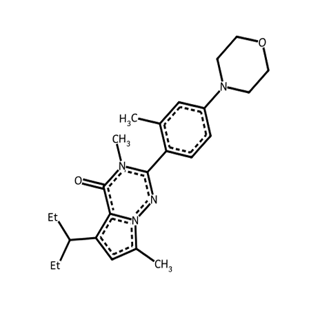 CCC(CC)c1cc(C)n2nc(-c3ccc(N4CCOCC4)cc3C)n(C)c(=O)c12